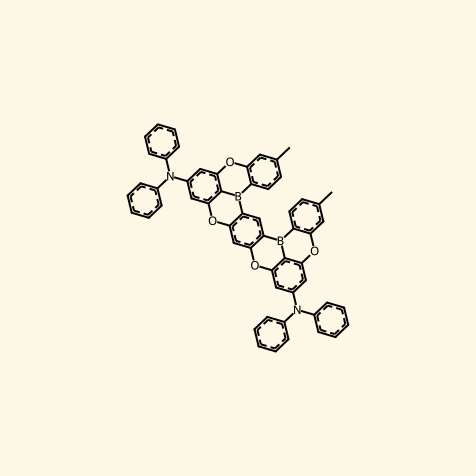 Cc1ccc2c(c1)Oc1cc(N(c3ccccc3)c3ccccc3)cc3c1B2c1cc2c(cc1O3)Oc1cc(N(c3ccccc3)c3ccccc3)cc3c1B2c1ccc(C)cc1O3